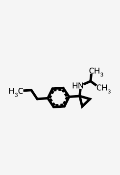 CCCc1ccc(C2(NC(C)C)CC2)cc1